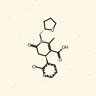 CC1=C(C(=O)O)[C@@H](c2cccnc2Cl)CC(=O)N1C[C@@H]1CCCO1